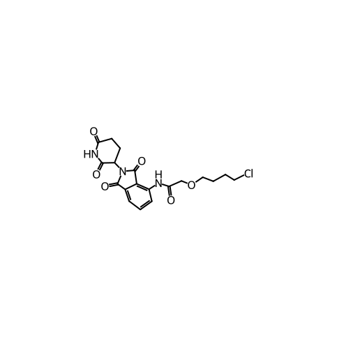 O=C1CCC(N2C(=O)c3cccc(NC(=O)COCCCCCl)c3C2=O)C(=O)N1